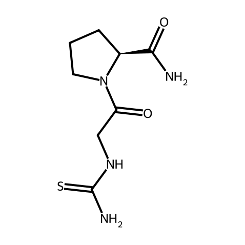 NC(=O)[C@@H]1CCCN1C(=O)CNC(N)=S